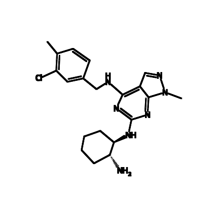 Cc1ccc(CNc2nc(N[C@@H]3CCCC[C@H]3N)nc3c2cnn3C)cc1Cl